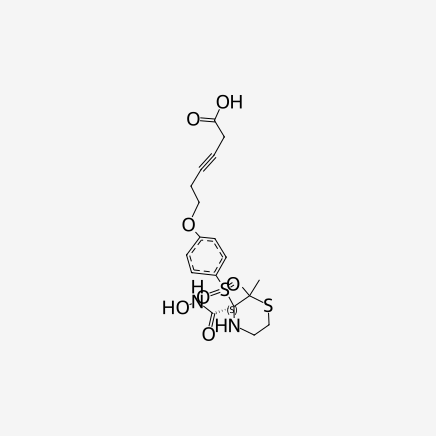 CC1(C)SCCN[C@@]1(C(=O)NO)S(=O)(=O)c1ccc(OCCC#CCC(=O)O)cc1